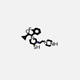 O=C(C1CC1)C(c1ccccc1F)N1CCC(S)/C(=C/CN2CCNCC2)C1